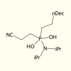 CCCCCCCCCCCCP(O)(O)(CCC#N)N(C(C)C)C(C)C